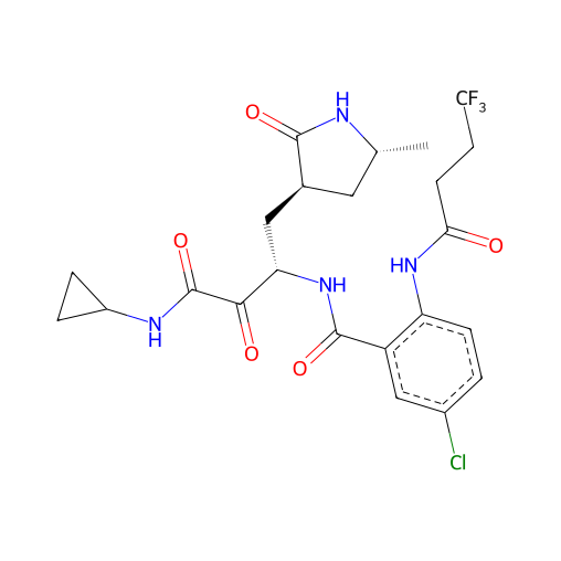 C[C@@H]1C[C@@H](C[C@H](NC(=O)c2cc(Cl)ccc2NC(=O)CCC(F)(F)F)C(=O)C(=O)NC2CC2)C(=O)N1